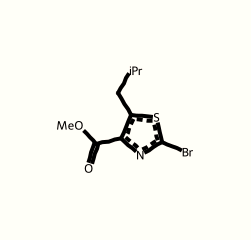 COC(=O)c1nc(Br)sc1CC(C)C